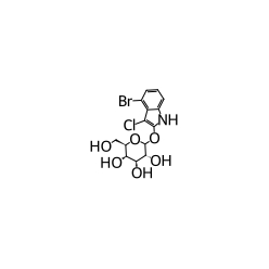 OC[C@H]1OC(Oc2[nH]c3cccc(Br)c3c2Cl)[C@H](O)[C@@H](O)[C@H]1O